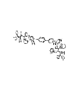 COC(=O)N[C@@H](C)C(=O)N1CCC[C@H]1c1ncc(-c2ccc(-c3ccc(-c4cnc([C@@H]5CCCN5C(=O)[C@H](Cn5cccn5)NC(=O)OC)[nH]4)cc3)cc2)[nH]1